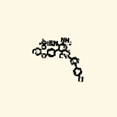 [C-]#[N+]c1c(N)nc(SCc2csc(-c3ccc(Cl)cc3)n2)c(C#N)c1-c1ccc(O[C@H]2COC[C@@H]2O[Si](C)(C)C(C)(C)C)cc1